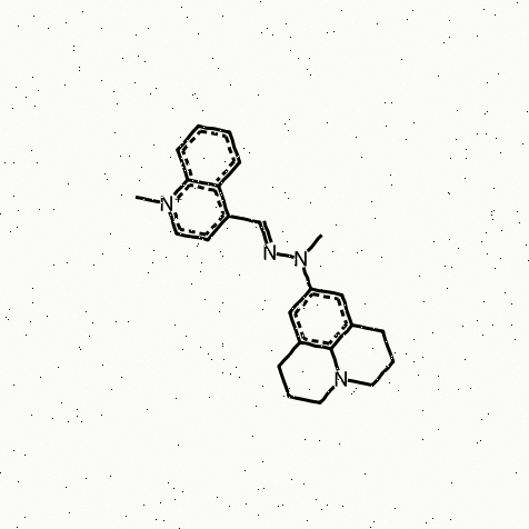 CN(/N=C/c1cc[n+](C)c2ccccc12)c1cc2c3c(c1)CCCN3CCC2